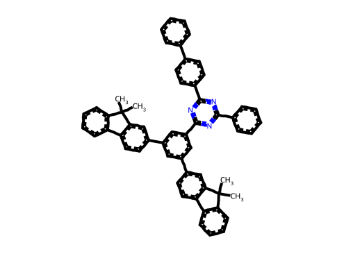 CC1(C)c2ccccc2-c2ccc(-c3cc(-c4ccc5c(c4)C(C)(C)c4ccccc4-5)cc(-c4nc(-c5ccccc5)nc(-c5ccc(-c6ccccc6)cc5)n4)c3)cc21